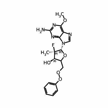 COc1nc(N)nc2c1ncn2[C@@H]1OC(COOc2ccccc2)[C@@H](O)[C@@]1(C)F